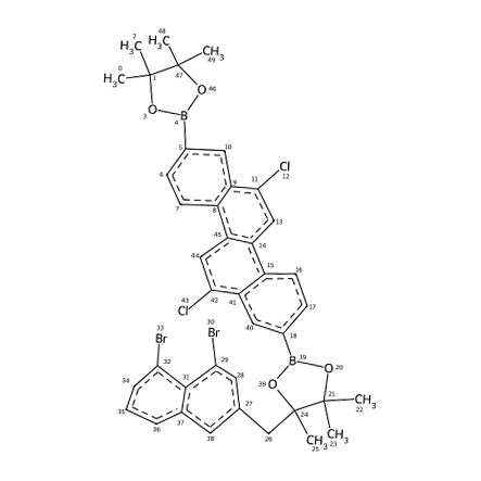 CC1(C)OB(c2ccc3c(c2)c(Cl)cc2c4ccc(B5OC(C)(C)C(C)(Cc6cc(Br)c7c(Br)cccc7c6)O5)cc4c(Cl)cc32)OC1(C)C